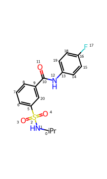 CC(C)NS(=O)(=O)c1cccc(C(=O)Nc2ccc(F)cc2)c1